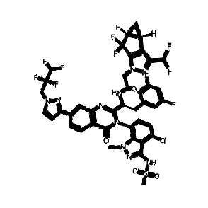 Cn1nc(NS(C)(=O)=O)c2c(Cl)ccc(-n3c([C@H](Cc4cc(F)cc(F)c4)NC(=O)Cn4nc(C(F)F)c5c4C(F)(F)[C@@H]4C[C@H]54)nc4cc(-c5ccn(CC(F)(F)C(F)F)n5)ccc4c3=O)c21